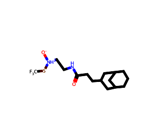 O=C(CCC1CC2CCCC(C2)C1)NCC[NH+]([O-])SC(F)(F)F